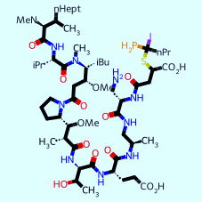 CCCCCCCC(C)[C@H](NC)C(=O)N[C@H](C(=O)N(C)[C@@H]([C@@H](C)CC)[C@@H](CC(=O)N1CCC[C@H]1C(OC)[C@@H](C)C(=O)N[C@H](C(=O)N[C@@H](CCC(=O)O)C(=O)N[C@H](C)CNC(=O)[C@H](CN)NC(=O)CC(SC(P)(I)CCC)C(=O)O)C(C)O)OC)C(C)C